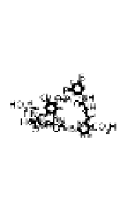 C/C(=N\NC(=O)Nc1cc(F)cc(F)c1)c1ncccc1C(=O)O.CC(C)Oc1cc(-n2nc(C(C)(C)C)oc2=O)c(Cl)cc1Cl.O=C(O)CNCP(=O)(O)O